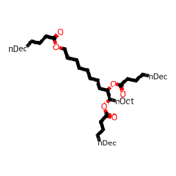 CCCCCCCCCCCCCC(=O)OCCCCCCCCC(OC(=O)CCCCCCCCCCCCC)C(CCCCCCCC)OC(=O)CCCCCCCCCCCCC